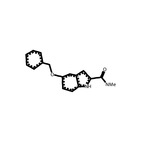 CNC(=O)c1cc2cc(OCc3ccccc3)ccc2[nH]1